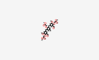 COC(=O)COc1c(Cc2cc(C=O)c(OCC(=O)OC)c(OC)c2)cc(C)cc1Cc1cc(C=O)c(OCC(=O)OC)c(OC)c1